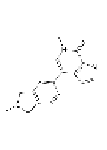 C=C1c2[nH]ccc2C(c2ccc3c(c2)CN(C)C3)=CN1C